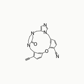 C#Cc1ccc2cc1CN1CCN(CC1=O)Cc1cncn1Cc1ccc(C#N)c(c1)O2